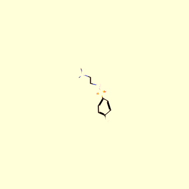 CCN(CC)CCNS(=O)(=O)c1ccc([N+](=O)[O-])cc1